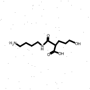 NCCCCNC(=O)C(CCCO)C(=O)O